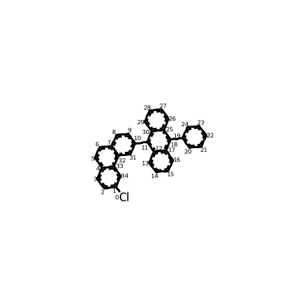 Clc1ccc2ccc3ccc(-c4c5ccccc5c(-c5ccccc5)c5ccccc45)cc3c2c1